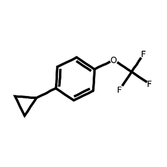 FC(F)(F)Oc1ccc(C2CC2)cc1